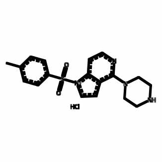 Cc1ccc(S(=O)(=O)n2ccc3c(N4CCNCC4)nccc32)cc1.Cl